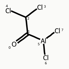 O=[C](C(Cl)Cl)[Al]([Cl])[Cl]